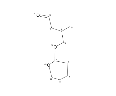 CC(CC=O)COC1CCCCO1